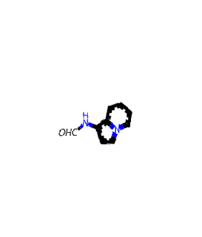 O=CNc1ccn2ccccc12